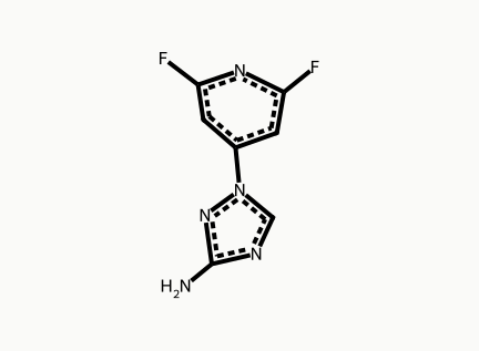 Nc1ncn(-c2cc(F)nc(F)c2)n1